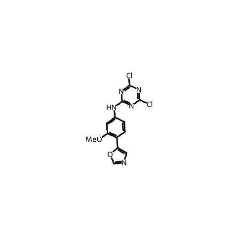 COc1cc(Nc2nc(Cl)nc(Cl)n2)ccc1-c1cnco1